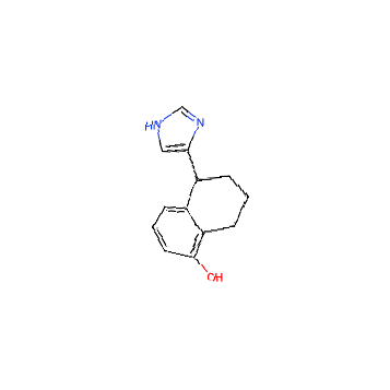 Oc1cccc2c1CCCC2c1c[nH]cn1